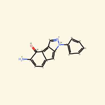 NC1=CC=C2C=c3c(cnn3-c3ccccc3)=C2C1=O